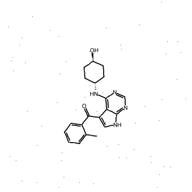 Cc1ccccc1C(=O)c1c[nH]c2ncnc(N[C@H]3CC[C@H](O)CC3)c12